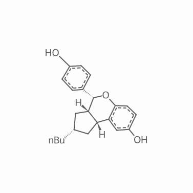 CCCC[C@@H]1C[C@H]2[C@@H](C1)c1cc(O)ccc1O[C@H]2c1ccc(O)cc1